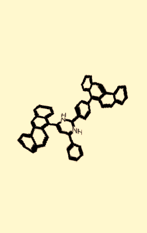 C1=C(c2c3ccccc3cc3c2ccc2ccccc23)NC(c2ccc(-c3c4ccccc4cc4c3ccc3ccccc34)cc2)NC1c1ccccc1